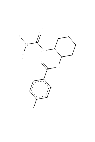 CCCc1ccc(C(=S)OC2CCCCC2SC(=O)N(CC)CC)cc1